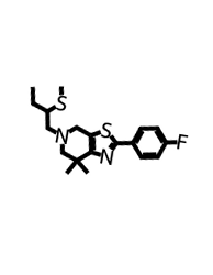 CCC(CN1Cc2sc(-c3ccc(F)cc3)nc2C(C)(C)C1)SC